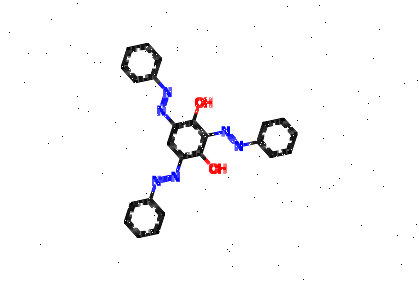 Oc1c(N=Nc2ccccc2)cc(N=Nc2ccccc2)c(O)c1N=Nc1ccccc1